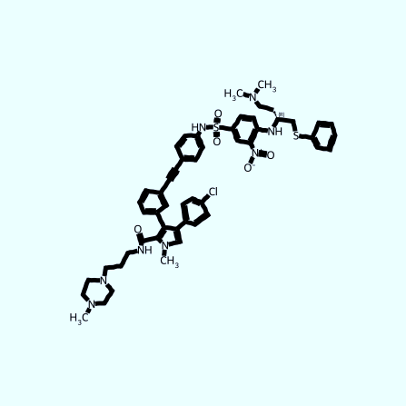 CN(C)CC[C@H](CSc1ccccc1)Nc1ccc(S(=O)(=O)Nc2ccc(C#Cc3cccc(-c4c(-c5ccc(Cl)cc5)cn(C)c4C(=O)NCCCN4CCN(C)CC4)c3)cc2)cc1[N+](=O)[O-]